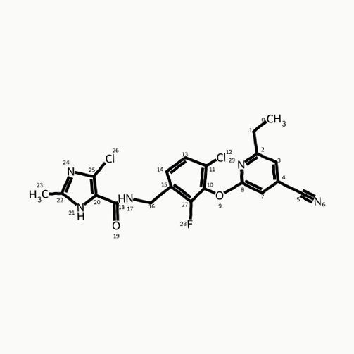 CCc1cc(C#N)cc(Oc2c(Cl)ccc(CNC(=O)c3[nH]c(C)nc3Cl)c2F)n1